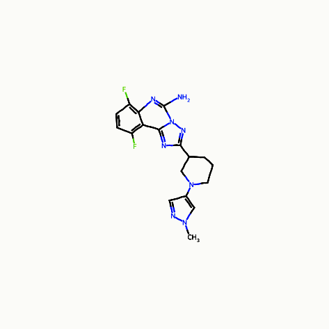 Cn1cc(N2CCCC(c3nc4c5c(F)ccc(F)c5nc(N)n4n3)C2)cn1